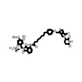 CCOc1cc([C@@H](CS(C)(=O)=O)N2C(=O)c3cccc(NC(=O)CCCCCCCc4ccc(OCc5scc6c5CN(C5CCC(=O)NC5=O)C6=O)cc4)c3C2=O)ccc1OC